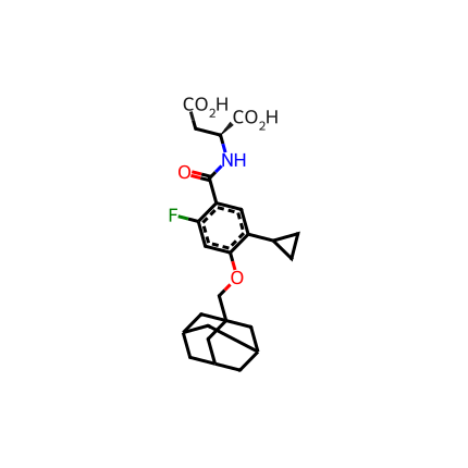 O=C(O)C[C@H](NC(=O)c1cc(C2CC2)c(OCC23CC4CC(CC(C4)C2)C3)cc1F)C(=O)O